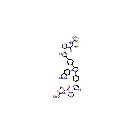 COC(=O)N[C@H](C(=O)N1CCC[C@H]1c1nc(-c2ccc(-c3ccc(-c4ccc(-c5c[nH]c([C@@H]6CCCN6C(=O)[C@@H](NC(=O)OC)C(C)C)n5)cc4)n3-c3ccc4c(c3)NNC4)cc2)c[nH]1)C(C)C